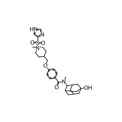 CN(C(=O)c1ccc(OCC2CC[N+](C)(S(=O)(=O)c3c[nH]cn3)CC2)cc1)C1C2CC3CC1CC(O)(C3)C2